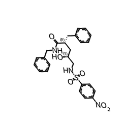 O=C(NCc1ccccc1)[C@H](Cc1ccccc1)C[C@H](O)CNS(=O)(=O)c1ccc([N+](=O)[O-])cc1